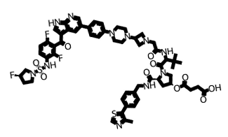 Cc1ncsc1-c1ccc(CNC(=O)[C@@H]2C[C@@H](OC(=O)CCC(=O)O)CN2C(=O)C(NC(=O)CN2CC(N3CCN(c4ccc(-c5cnc6[nH]cc(C(=O)c7c(F)ccc(NS(=O)(=O)N8CC[C@@H](F)C8)c7F)c6c5)cc4)CC3)C2)C(C)(C)C)cc1